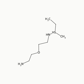 CC[SH](C)NCCOCCN